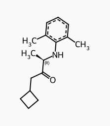 Cc1cccc(C)c1N[C@H](C)C(=O)CC1CCC1